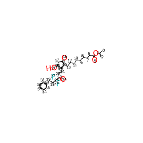 CC(C)OC(=O)CCCCCCCC[C@H]1C(=O)C[C@@H](O)[C@@H]1CCC(=O)C(F)(F)CCc1ccccc1